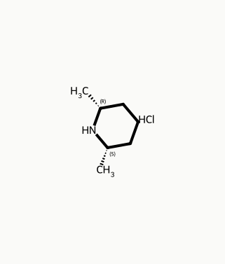 C[C@@H]1CCC[C@H](C)N1.Cl